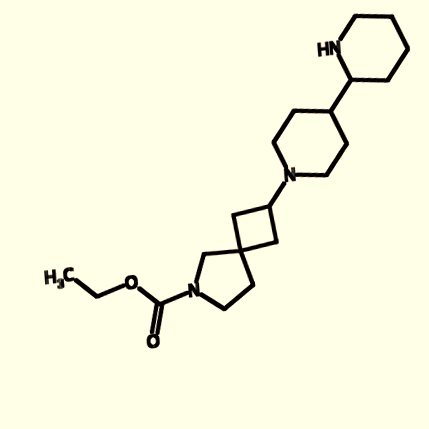 CCOC(=O)N1CCC2(CC(N3CCC(C4CCCCN4)CC3)C2)C1